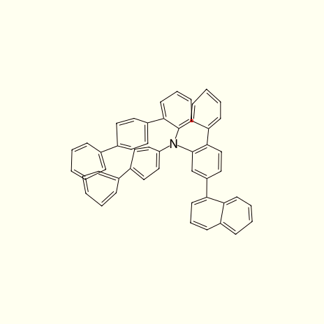 c1ccc(-c2ccc(-c3ccccc3N(c3ccc(-c4ccccc4)cc3)c3cc(-c4cccc5ccccc45)ccc3-c3ccccc3)cc2)cc1